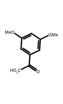 COc1cc(OC)cc(C(=O)C(=O)O)c1